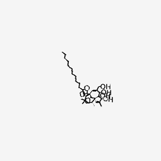 CCCCCCCCCCCC(=O)O[C@@H]1[C@@H]2C=C(CO)[C@@H](O)[C@]3(O)[C@@H](O)C(C)=C[C@@]3(C2=O)[C@H](C)CC1(C)C